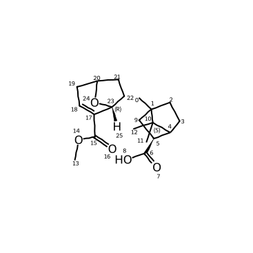 CC12CCC([C@@H](C(=O)O)C1)C2(C)C.COC(=O)C1=CCC2CC[C@H]1O2